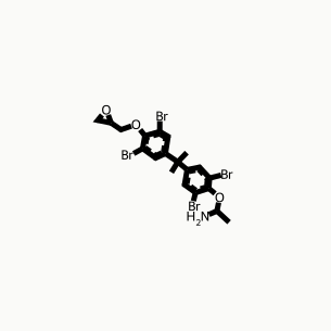 CC(N)Oc1c(Br)cc(C(C)(C)c2cc(Br)c(OCC3CO3)c(Br)c2)cc1Br